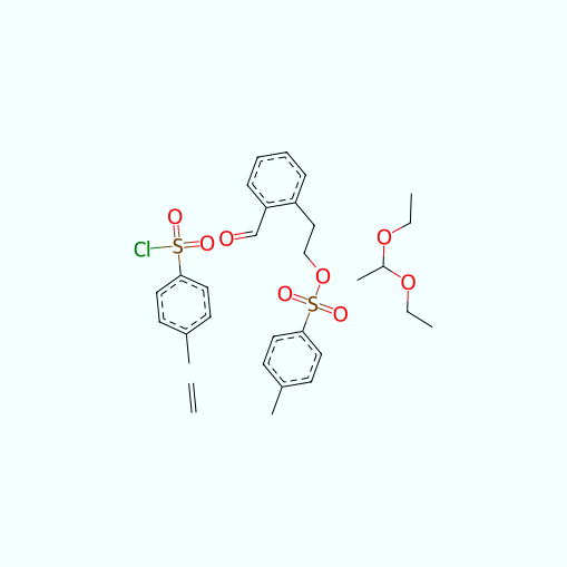 C=C.CCOC(C)OCC.Cc1ccc(S(=O)(=O)Cl)cc1.Cc1ccc(S(=O)(=O)OCCc2ccccc2C=O)cc1